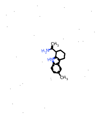 C=C(N)C1CCCc2c1[nH]c1ccc(C)cc21